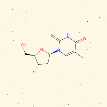 Cc1cn([C@H]2C[C@H](F)[C@@H](CO)O2)c(=S)[nH]c1=O